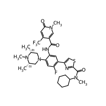 C[C@@H]1CN(c2cc(F)c(-c3csc(C(=O)N(C)C4CCCCC4)n3)cc2NC(=O)c2cn(C)c(=O)cc2C(F)(F)F)C[C@H](C)N1C